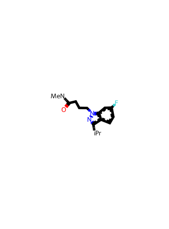 CNC(=O)CCCn1nc(C(C)C)c2ccc(F)cc21